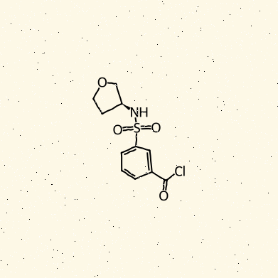 O=C(Cl)c1cccc(S(=O)(=O)N[C@H]2CCOC2)c1